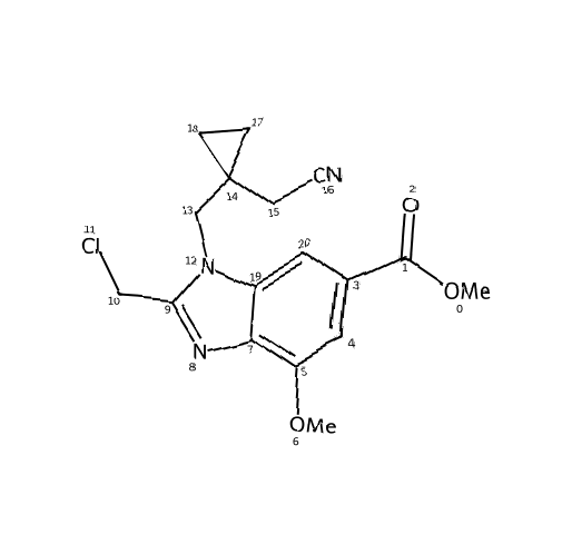 COC(=O)c1cc(OC)c2nc(CCl)n(CC3(CC#N)CC3)c2c1